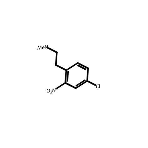 CNCCc1ccc(Cl)cc1[N+](=O)[O-]